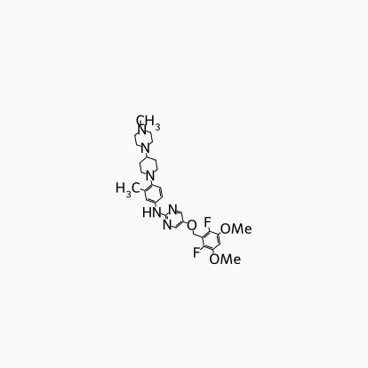 COc1cc(OC)c(F)c(COc2cnc(Nc3ccc(N4CCC(N5CCN(C)CC5)CC4)c(C)c3)nc2)c1F